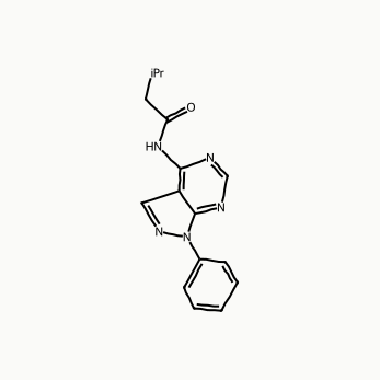 CC(C)CC(=O)Nc1ncnc2c1cnn2-c1ccccc1